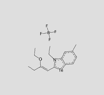 CCOC(=Cc1[te]c2ccc(C)cc2[n+]1CC)CC.F[B-](F)(F)F